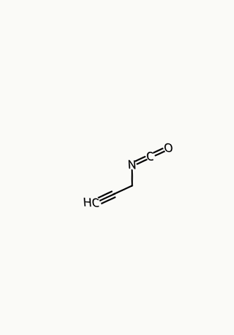 C#CCN=C=O